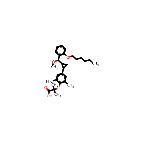 CCCCCCOc1ccccc1C(OC)C1CC1c1cc(C)c(OC(C)(C)C(=O)O)c(C)c1